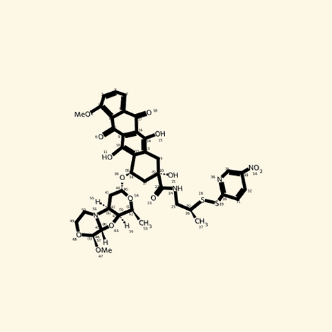 COc1cccc2c1C(=O)c1c(O)c3c(c(O)c1C2=O)C[C@@](O)(C(=O)NC[C@H](C)SSc1ccc([N+](=O)[O-])cn1)C[C@@H]3O[C@H]1C[C@H]2[C@H](O[C@@H]3[C@@H](OC)OCCN32)[C@H](C)O1